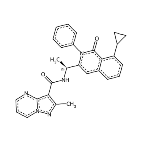 Cc1nn2cccnc2c1C(=O)N[C@@H](C)c1cc2cccc(C3CC3)c2c(=O)n1-c1ccccc1